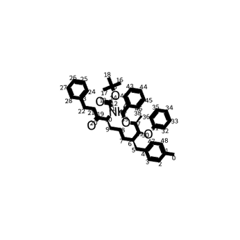 Cc1ccc(C[C@@H](CCC[C@H](NC(=O)OC(C)(C)C)C(=O)CCc2ccccc2)[C@@H](Oc2ccccc2)[C@H](C)OCc2ccccc2)cc1